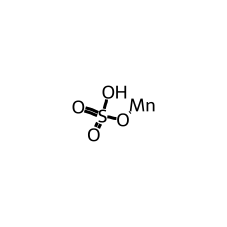 O=S(=O)(O)[O][Mn]